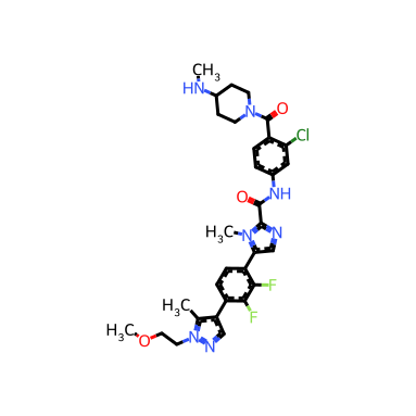 CNC1CCN(C(=O)c2ccc(NC(=O)c3ncc(-c4ccc(-c5cnn(CCOC)c5C)c(F)c4F)n3C)cc2Cl)CC1